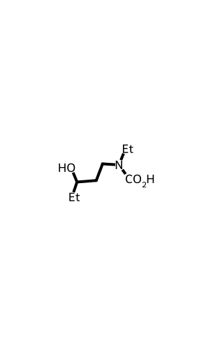 CCC(O)CCN(CC)C(=O)O